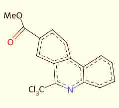 COC(=O)c1ccc2c(c1)c(C(Cl)(Cl)Cl)nc1ccccc12